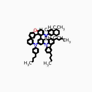 CCCCc1ccc(N(c2ccccc2)c2cc3c4c(c2)-n2c5ccc(CCCC)cc5c5cc(CCCC)cc(c52)B4N(c2cc4c(cc2C)C(C)(C)CCC4(C)C)c2ccc4oc5ccccc5c4c2-3)cc1